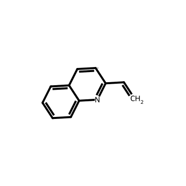 C=Cc1[c]cc2ccccc2n1